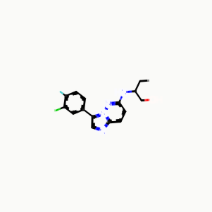 CCC(CO)Nc1ccc2ncc(-c3ccc(F)c(Cl)c3)n2n1